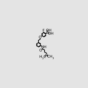 CN(C)CCCC(=O)Nc1cccc(CCOc2ccc(B(O)O)c(F)c2)c1